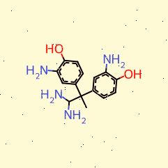 CC(c1ccc(O)c(N)c1)(c1ccc(O)c(N)c1)C(N)N